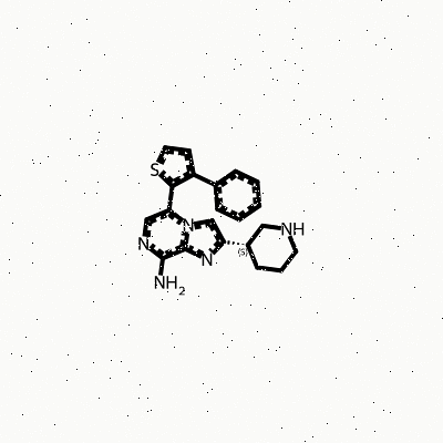 Nc1ncc(-c2sccc2-c2ccccc2)n2cc([C@H]3CCCNC3)nc12